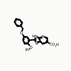 CC(C)Oc1ccc(OCc2ccccc2)cc1-c1nc2cc(C(=O)O)cnc2[nH]1